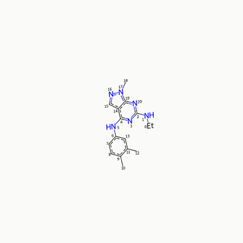 CCNc1nc(Nc2ccc(C)c(C)c2)c2cnn(C)c2n1